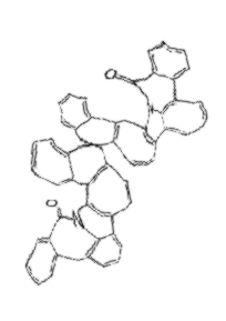 O=c1c2ccccc2c2cccc3c4ccc5c(c4n1c23)-c1ccccc1C51c2ccccc2-c2c1ccc1c3cccc4c5ccccc5c(=O)n(c21)c43